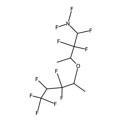 CC(OC(C)C(F)(F)C(F)C(F)(F)F)C(F)(F)C(F)N(F)F